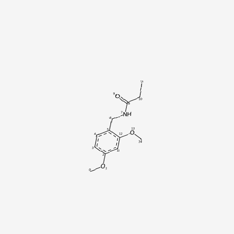 COc1ccc(CNC(=O)CI)c(OC)c1